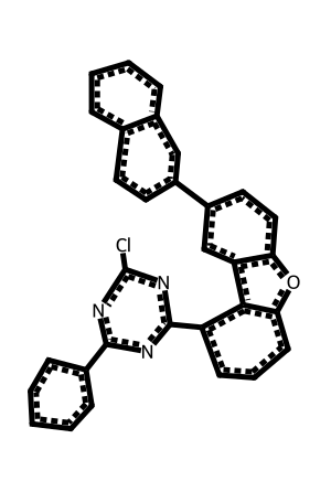 Clc1nc(-c2ccccc2)nc(-c2cccc3oc4ccc(-c5ccc6ccccc6c5)cc4c23)n1